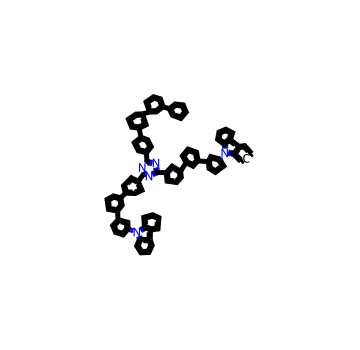 c1ccc(-c2cccc(-c3cccc(-c4ccc(-c5nc(-c6ccc(-c7cccc(-c8cccc(-n9c%10ccccc%10c%10ccccc%109)c8)c7)cc6)nc(-c6cccc(-c7cccc(-c8cccc(-n9c%10ccccc%10c%10ccccc%109)c8)c7)c6)n5)cc4)c3)c2)cc1